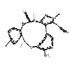 Cc1ccc2c(c1)[C@@H](C)Oc1cc(cnc1N)-c1c(nn(C)c1C#N)NC(=O)N2